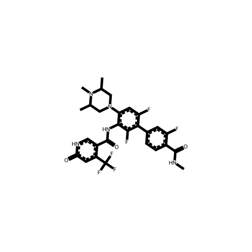 CNC(=O)c1ccc(-c2c(F)cc(N3CC(C)N(C)C(C)C3)c(NC(=O)c3c[nH]c(=O)cc3C(F)(F)F)c2F)cc1F